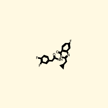 O=C(Cc1ccc(F)c(F)c1)Nn1c(CC2CC2)nc2cc(F)ccc2c1=O